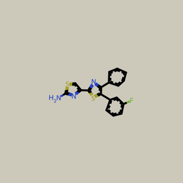 Nc1nc(-c2nc(-c3ccccc3)c(-c3cccc(F)c3)s2)cs1